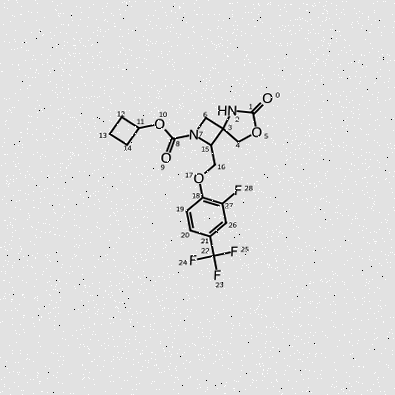 O=C1NC2(CO1)CN(C(=O)OC1CCC1)C2COc1ccc(C(F)(F)F)cc1F